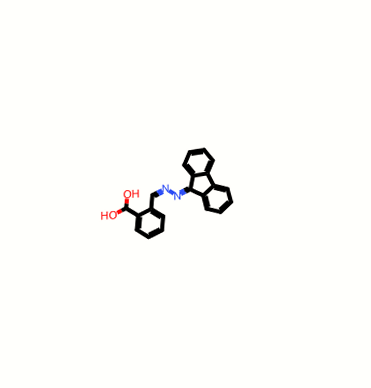 OC(O)c1ccccc1/C=N\N=C1c2ccccc2-c2ccccc21